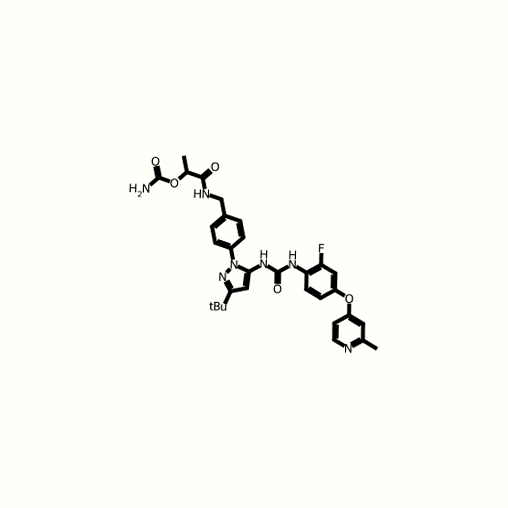 Cc1cc(Oc2ccc(NC(=O)Nc3cc(C(C)(C)C)nn3-c3ccc(CNC(=O)C(C)OC(N)=O)cc3)c(F)c2)ccn1